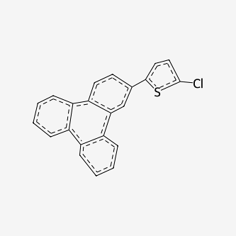 Clc1ccc(-c2ccc3c4ccccc4c4ccccc4c3c2)s1